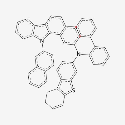 C1=Cc2sc3cc(N(c4ccc5ccc6c7ccccc7n(-c7ccc8ccccc8c7)c6c5c4)c4ccccc4-c4ccccc4)ccc3c2CC1